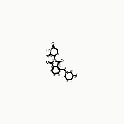 O=C1CCC(N2C(=O)c3cccc(CN4CCCC(F)C4)c3C2=O)C(=O)N1